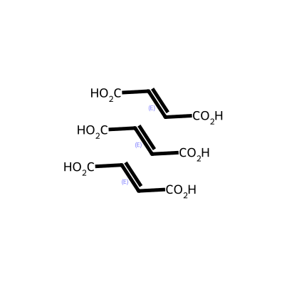 O=C(O)/C=C/C(=O)O.O=C(O)/C=C/C(=O)O.O=C(O)/C=C/C(=O)O